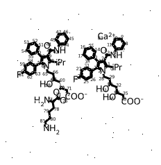 CC(C)c1c(C(=O)Nc2ccccc2)c(-c2ccccc2)c(-c2ccc(F)cc2)n1CC[C@@H](O)C[C@@H](O)CC(=O)[O-].CC(C)c1c(C(=O)Nc2ccccc2)c(-c2ccccc2)c(-c2ccc(F)cc2)n1CC[C@@H](O)C[C@H](CC(=O)[O-])OC(=O)C(N)CCCCN.[Ca+2]